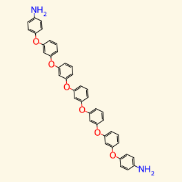 Nc1ccc(Oc2cccc(Oc3cccc(Oc4cccc(Oc5cccc(Oc6cccc(Oc7ccc(N)cc7)c6)c5)c4)c3)c2)cc1